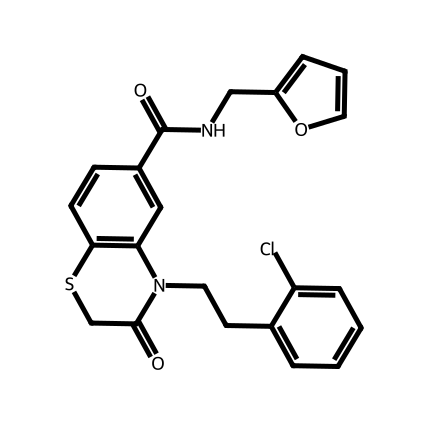 O=C(NCc1ccco1)c1ccc2c(c1)N(CCc1ccccc1Cl)C(=O)CS2